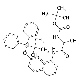 CC(NC(=O)OC(C)(C)C)C(=O)Nc1cccc2ccc(O[Si](c3ccccc3)(c3ccccc3)C(C)(C)C)cc12